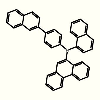 c1ccc2cc(-c3ccc(N(c4cccc5ccccc45)c4cc5ccccc5c5ccccc45)cc3)ccc2c1